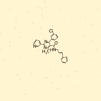 Cc1nc(-c2cccnc2)nc(-c2cccc(Cl)c2)c1C(=O)NC/C=C/c1ccccc1